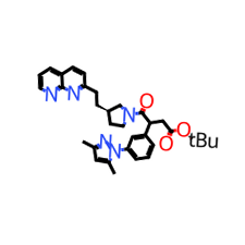 Cc1cc(C)n(-c2cccc(C(CC(=O)OC(C)(C)C)C(=O)N3CC[C@@H](CCc4ccc5cccnc5n4)C3)c2)n1